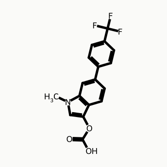 Cn1cc(OC(=O)O)c2ccc(-c3ccc(C(F)(F)F)cc3)cc21